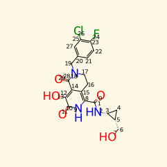 O=C(N[C@@H]1C[C@@H]1CO)c1[nH]c(=O)c(O)c2c1CCN(Cc1ccc(F)c(Cl)c1)C2=O